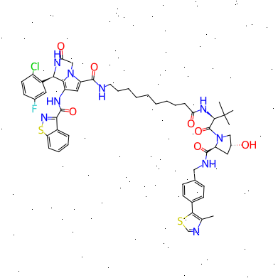 Cc1ncsc1-c1ccc(CNC(=O)[C@@H]2C[C@@H](O)CN2C(=O)[C@@H](NC(=O)CCCCCCCCCNC(=O)c2cc(NC(=O)c3nsc4ccccc34)c3n2CC(=O)N[C@@H]3c2cc(F)ccc2Cl)C(C)(C)C)cc1